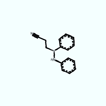 N#CCCN(Nc1ccccc1)c1ccccc1